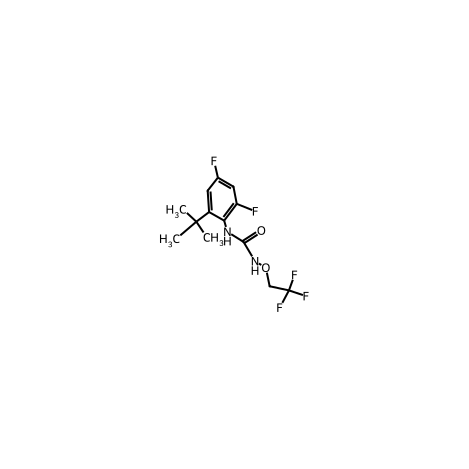 CC(C)(C)c1cc(F)cc(F)c1NC(=O)NOCC(F)(F)F